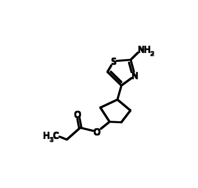 CCC(=O)OC1CCC(c2csc(N)n2)C1